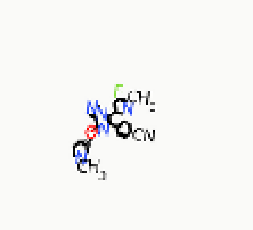 Cc1ncc(-c2c(-c3ccc(C#N)cc3)nc(OC[C@@H]3CCCN(C)C3)c3cncn23)cc1F